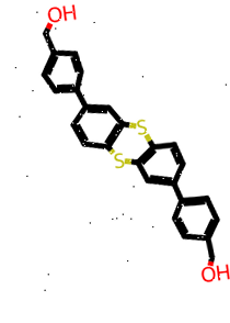 OCc1ccc(-c2ccc3c(c2)Sc2ccc(-c4ccc(CO)cc4)cc2S3)cc1